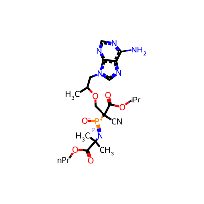 CCCOC(=O)C(C)(C)/N=[P+](\[O-])C(C#N)(COC(C)Cn1cnc2c(N)ncnc21)C(=O)OC(C)C